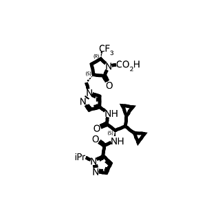 CC(C)n1nccc1C(=O)N[C@H](C(=O)Nc1cnn(C[C@@H]2C[C@H](C(F)(F)F)N(C(=O)O)C2=O)c1)C(C1CC1)C1CC1